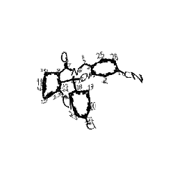 N#Cc1ccc(CN2C(=O)c3cccc(Cl)c3C2(O)c2ccc(Cl)cc2)cc1